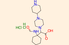 Cl.Cl.O=CNC1(C(C(=O)O)N2CCN(C3CCNCC3)CC2)CCCCC1